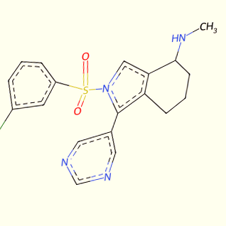 CNC1CCCc2c1cn(S(=O)(=O)c1cccc(Cl)c1)c2-c1cncnc1